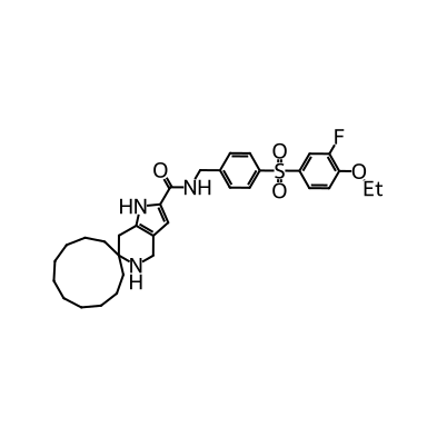 CCOc1ccc(S(=O)(=O)c2ccc(CNC(=O)c3cc4c([nH]3)CC3(CCCCCCCCCC3)NC4)cc2)cc1F